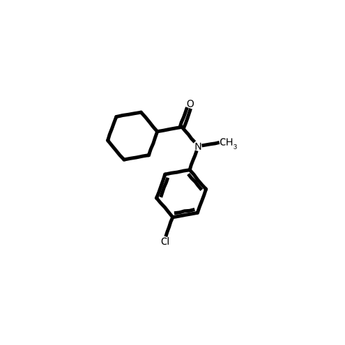 CN(C(=O)C1CCCCC1)c1ccc(Cl)cc1